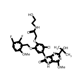 COc1ccc(F)c(F)c1COc1cc(-n2c(=O)[nH]c3c(OC)nc(C(C)(C)O)nc32)c(Cl)cc1OCC(=O)NCCO